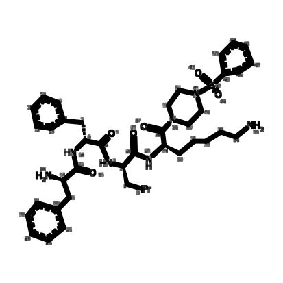 CC(C)C[C@@H](NC(=O)[C@@H](Cc1ccccc1)NC(=O)[C@H](N)Cc1ccccc1)C(=O)N[C@H](CCCCCN)C(=O)N1CCN(S(=O)(=O)c2ccccc2)CC1